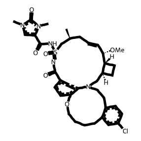 CO[C@H]1/C=C/C[C@H](C)CS(=O)(NC(=O)c2cn(C)c(=O)n2C)=NC(=O)c2ccc3c(c2)N(CCc2ccc(Cl)cc2CCCCO3)C[C@@H]2CC[C@H]21